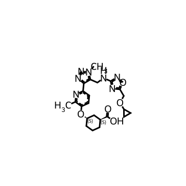 Cc1nc(-c2nnn(C)c2CNc2noc(COC3CC3)n2)ccc1O[C@H]1CCC[C@H](C(=O)O)C1